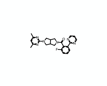 Cc1cc(C)nc(N2CC3CN(C(=O)c4c(F)cccc4-c4ncccn4)CC3C2)n1